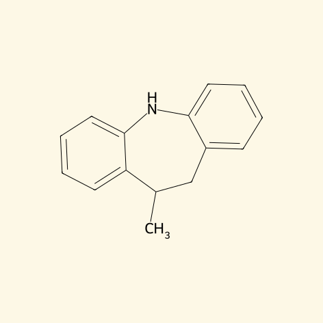 CC1Cc2ccccc2Nc2ccccc21